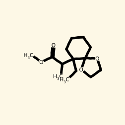 CCC1(C(C)C(=O)OC)CCCCC12OCCO2